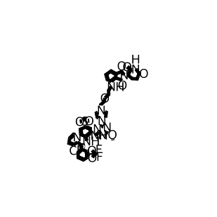 COc1nc(Nc2cc(S(C)(=O)=O)ccc2N[C@@H](c2cccc3c2OC(F)(F)O3)c2ncccc2Cl)nc(N2CCN(CCOCCNc3cccc4c3C(=O)N(C3CCC(=O)NC3=O)C4=O)CC2)n1